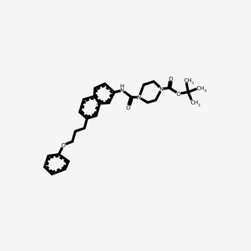 CC(C)(C)OC(=O)N1CCN(C(=O)Nc2ccc3ccc(CCCOc4ccccc4)cc3c2)CC1